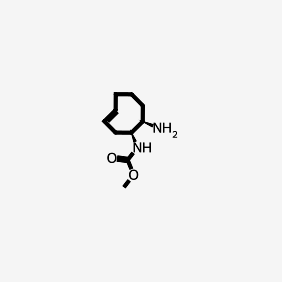 COC(=O)N[C@H]1C/C=C/CCC[C@H]1N